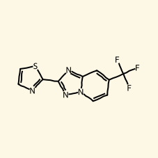 FC(F)(F)c1ccn2nc(-c3nccs3)nc2c1